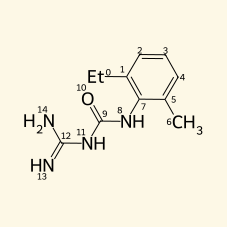 CCc1cccc(C)c1NC(=O)NC(=N)N